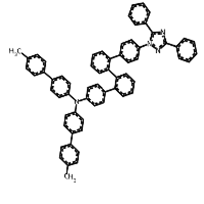 Cc1ccc(-c2ccc(N(c3ccc(-c4ccc(C)cc4)cc3)c3ccc(-c4ccccc4-c4ccccc4-c4ccc(-n5nc(-c6ccccc6)nc5-c5ccccc5)cc4)cc3)cc2)cc1